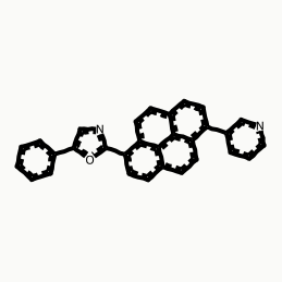 c1ccc(-c2cnc(-c3ccc4ccc5c(-c6cccnc6)ccc6ccc3c4c65)o2)cc1